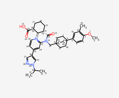 COc1ccc(C23CCC(CN(C(=O)[C@H]4CCC[C@H](C(=O)O)C4)c4cc(-c5cnn(C(C)C)c5)ccn4)(CC2)CC3)cc1C